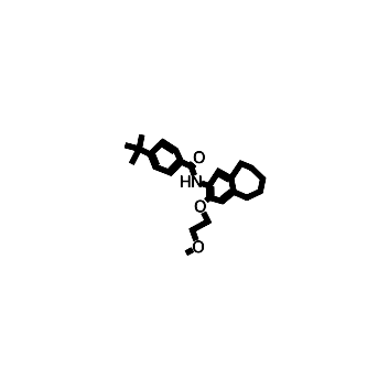 COCCOc1cc2c(cc1NC(=O)c1ccc(C(C)(C)C)cc1)CCCCC2